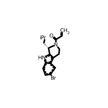 C=CC(=O)N1CCc2c([nH]c3ccc(Br)cc23)[C@@H]1CC(C)C